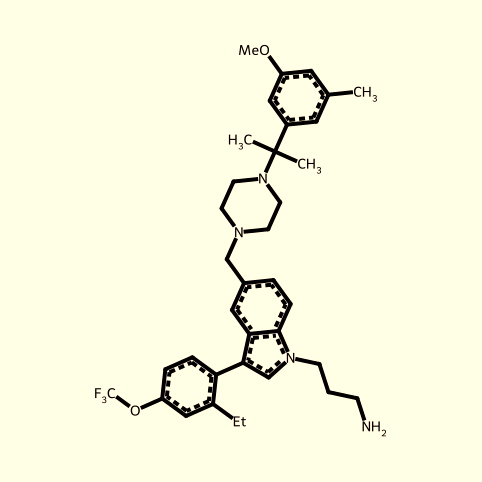 CCc1cc(OC(F)(F)F)ccc1-c1cn(CCCN)c2ccc(CN3CCN(C(C)(C)c4cc(C)cc(OC)c4)CC3)cc12